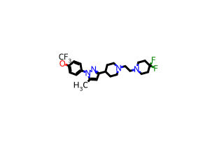 Cc1cc(C2CCN(CCN3CCC(F)(F)CC3)CC2)nn1-c1ccc(OC(F)(F)F)cc1